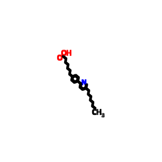 CCCCCCCCc1ccc(-c2ccc(CCCCCCC(=O)O)cc2)nc1